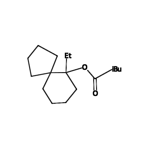 CCC(C)C(=O)OC1(CC)CCCCC12CCCC2